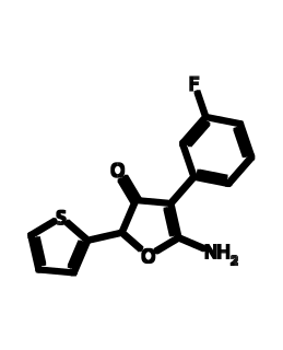 NC1=C(c2cccc(F)c2)C(=O)C(c2cccs2)O1